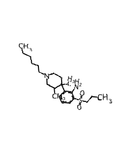 CCCCCCN1CCC(C)(c2cccc(S(=O)(=O)CCC)c2N)C(C)C1